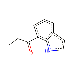 CCC(=O)c1cccc2cc[nH]c12